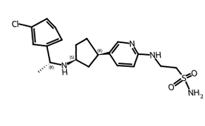 C[C@@H](N[C@H]1CC[C@@H](c2ccc(NCCS(N)(=O)=O)nc2)C1)c1cccc(Cl)c1